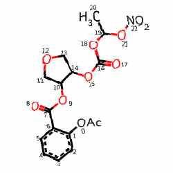 CC(=O)Oc1ccccc1C(=O)OC1COCC1OC(=O)OC(C)O[N+](=O)[O-]